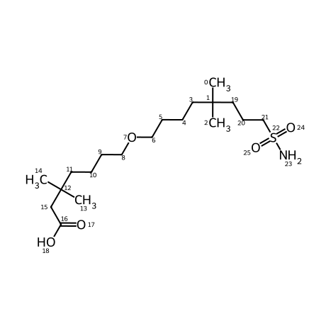 CC(C)(CCCCOCCCCC(C)(C)CC(=O)O)CCCS(N)(=O)=O